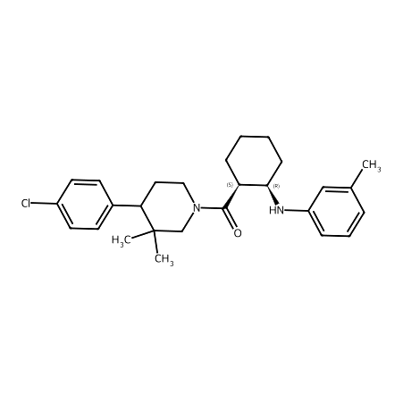 Cc1cccc(N[C@@H]2CCCC[C@@H]2C(=O)N2CCC(c3ccc(Cl)cc3)C(C)(C)C2)c1